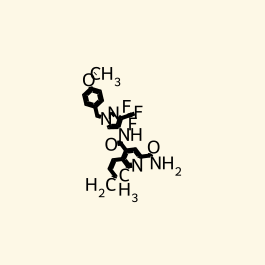 C=C/C=C\c1c(C(=O)Nc2cn(Cc3ccc(OC)cc3)nc2C(F)(F)F)cc(C(N)=O)nc1C